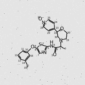 CC(C(=O)Nc1ncc(Oc2cccc(F)c2)s1)N1CCOC(c2cc[n+]([O-])cc2)C1